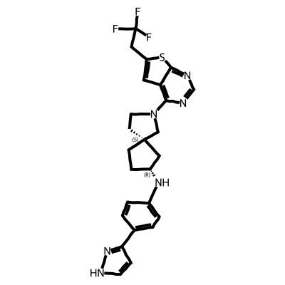 FC(F)(F)Cc1cc2c(N3CC[C@]4(CC[C@@H](Nc5ccc(-c6cc[nH]n6)cc5)C4)C3)ncnc2s1